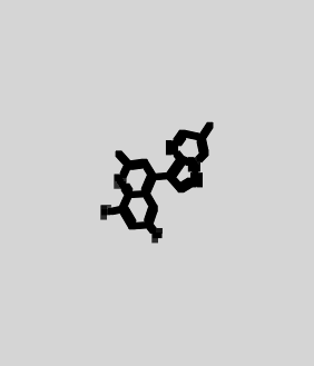 Cc1cnc2c(-c3cc(C)nc4c(F)cc(F)cc34)cnn2c1